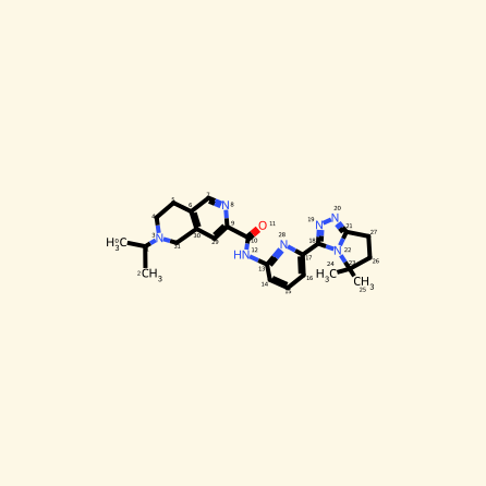 CC(C)N1CCc2cnc(C(=O)Nc3cccc(-c4nnc5n4C(C)(C)CC5)n3)cc2C1